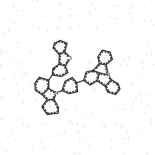 c1ccc2c(c1)sc1ccc(-c3cccc4c5ccccc5n(-c5ccc(-c6cc7c8ccccc8n8c9ccccc9c(c6)c78)cc5)c34)cc12